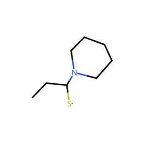 CCC([S])N1CCCCC1